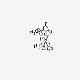 COC(=O)c1cc(F)cc2c1OC(CNC(=O)OC(C)(C)C)CO2